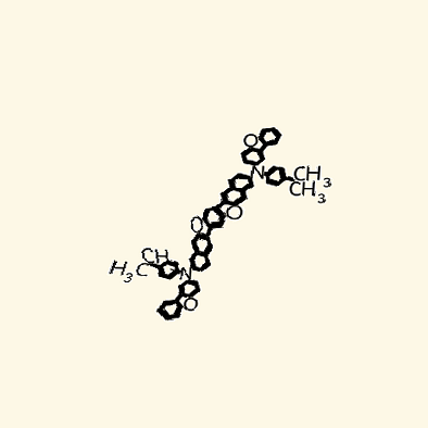 CC(C)c1ccc(N(c2ccc3cc4c(cc3c2)oc2cc3c(cc24)oc2cc4cc(N(c5ccc(C(C)C)cc5)c5ccc6oc7ccccc7c6c5)ccc4cc23)c2ccc3oc4ccccc4c3c2)cc1